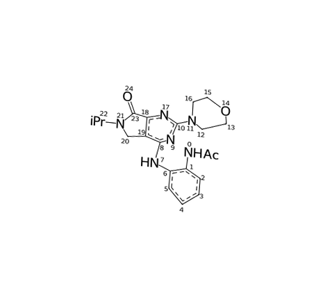 CC(=O)Nc1ccccc1Nc1nc(N2CCOCC2)nc2c1CN(C(C)C)C2=O